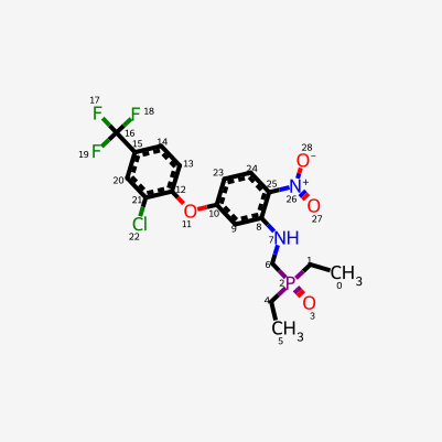 CCP(=O)(CC)CNc1cc(Oc2ccc(C(F)(F)F)cc2Cl)ccc1[N+](=O)[O-]